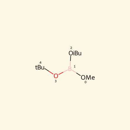 COB(OCC(C)C)OC(C)(C)C